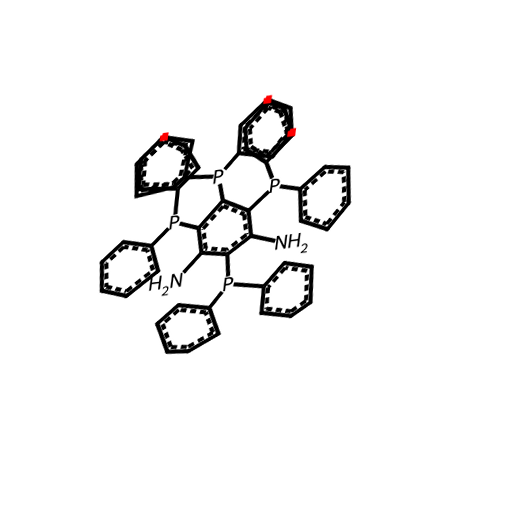 Nc1c(P(c2ccccc2)c2ccccc2)c(N)c(P(c2ccccc2)c2ccccc2)c(P(c2ccccc2)c2ccccc2)c1P(c1ccccc1)c1ccccc1